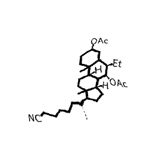 CC[C@@H]1C2C[C@H](OC(C)=O)CCC2(C)[C@H]2CCC3(C)C([C@H](C)CCCCCC#N)CC[C@H]3C2[C@@H]1OC(C)=O